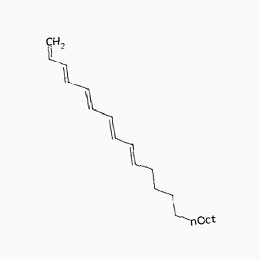 C=CC=CC=CC=CC=CCCCCCCCCCCCC